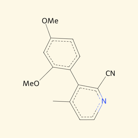 COc1ccc(-c2c(C)ccnc2C#N)c(OC)c1